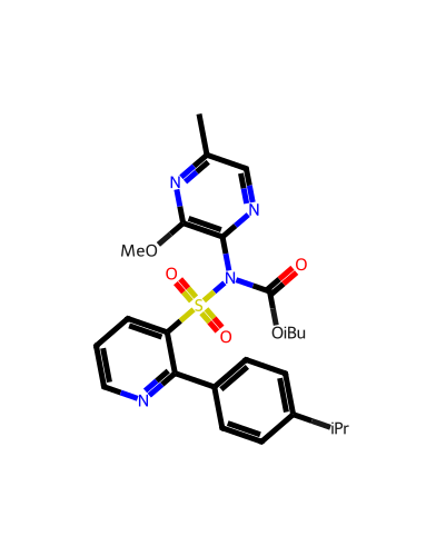 COc1nc(C)cnc1N(C(=O)OCC(C)C)S(=O)(=O)c1cccnc1-c1ccc(C(C)C)cc1